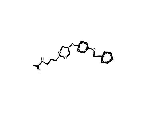 CC(=O)NCCC[C@H]1OC[C@@H](Oc2ccc(OCc3ccccc3)cc2)CO1